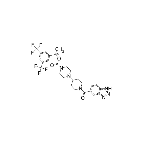 C[C@H](OC(=O)N1CCN(C2CCN(C(=O)c3ccc4[nH]nnc4c3)CC2)CC1)c1cc(C(F)(F)F)cc(C(F)(F)F)c1